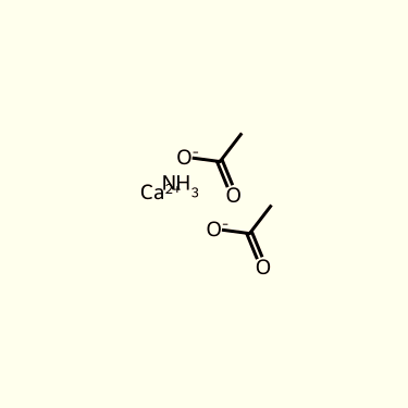 CC(=O)[O-].CC(=O)[O-].N.[Ca+2]